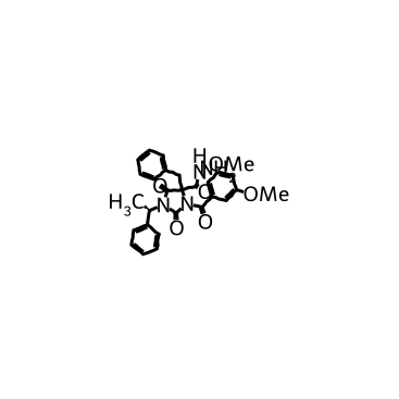 COc1cc(OC)cc(C(=O)N2C(=O)N([C@H](C)c3ccccc3)C(=O)C2(Cc2ccccc2)C(=O)NN)c1